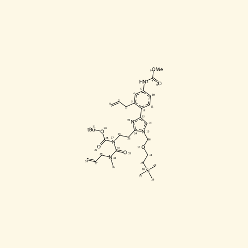 C=CCc1cc(NC(=O)OC)ccc1-c1cn(COCC[Si](C)(C)C)c(CCN(C(=O)OC(C)(C)C)C(=O)N(C)CC=C)n1